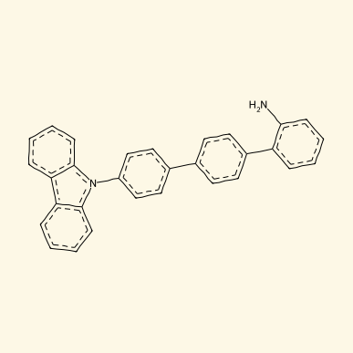 Nc1ccccc1-c1ccc(-c2ccc(-n3c4ccccc4c4ccccc43)cc2)cc1